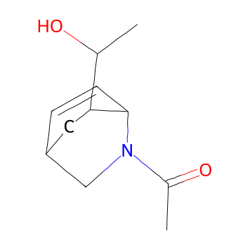 CC(=O)N1CC2C=CC1C(C(C)O)C2